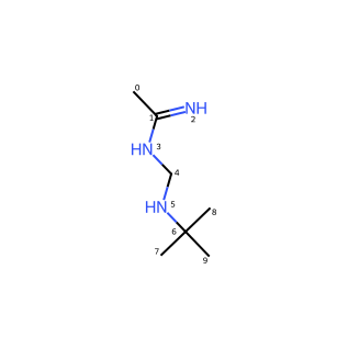 CC(=N)NCNC(C)(C)C